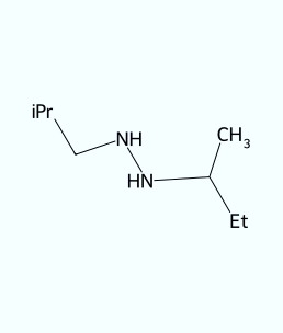 CCC(C)NNCC(C)C